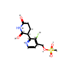 CS(=O)(=O)OCc1ccnc(C2CCC(=O)NC2=O)c1F